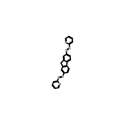 c1ccc(N=Nc2ccc3c(c2)Cc2cc(N=Nc4ccccn4)ccc2-3)nc1